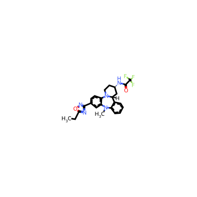 CCc1nc(-c2ccc3c(c2)N(C)c2ccccc2[C@H]2C[C@@H](NC(=O)C(F)(F)F)CCN32)no1